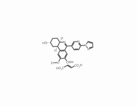 CCOc1cc2c(cc1OC)C(c1ccc(-n3cccn3)nc1)=N[C@@H]1CC[C@@H](O)C[C@H]21.O=C(O)/C=C/C(=O)O